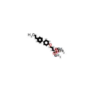 CCCc1ccc([C@H]2CC[C@H](OCCC[Si](OC)(OC)OC)CC2)cc1